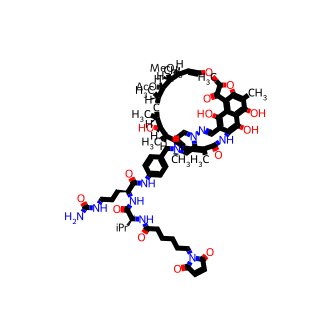 CO[C@H]1/C=C/O[C@@]2(C)Oc3c(C)c(O)c4c(O)c(c(/C=N/N5CC[N+](C)(Cc6ccc(NC(=O)[C@H](CCCNC(N)=O)NC(=O)[C@@H](NC(=O)CCCCCN7C(=O)C=CC7=O)C(C)C)cc6)CC5)c(O)c4c3C2=O)NC(=O)/C(C)=C\C=C\[C@H](C)[C@H](O)[C@@H](C)C[C@@H](C)[C@H](OC(C)=O)[C@@H]1C